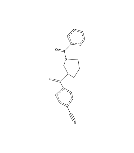 N#Cc1ccc(C(=O)C2CCCN(C(=O)c3ccccc3)C2)cc1